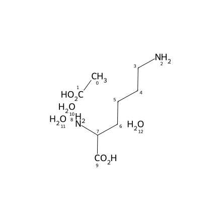 CC(=O)O.NCCCCC(N)C(=O)O.O.O.O